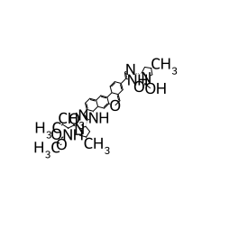 COC(=O)N[C@H](C(=O)N1C[C@@H](C)C[C@H]1C1=NC2=CC=C3C=C4C(=CC3C2N1)OC=C1C=C(c2cnc([C@@H]3C[C@H](C)CN3C(=O)O)[nH]2)C=CC14)C(C)C